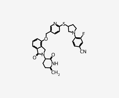 C=C1CCC(N2Cc3c(OCc4ccc(SC5CCN(c6ccc(C#N)cc6F)C5)nc4)cccc3C2=O)C(=O)N1